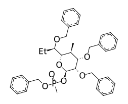 CC[C@@H](OCc1ccccc1)[C@H]1O[C@H](OP(C)(=O)OCc2ccccc2)[C@@H](OCc2ccccc2)[C@@H](OCc2ccccc2)[C@@H]1C